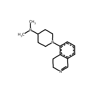 CN(C)C1CCN(c2cccc3c2CCN=C3)CC1